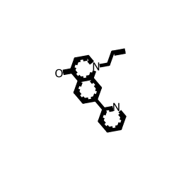 C=CCn1ccc(=O)c2ccc(-c3ccccn3)cc21